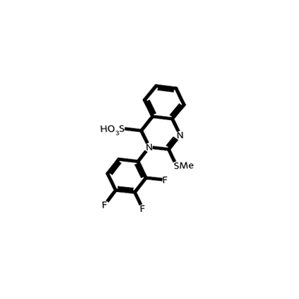 CSC1=Nc2ccccc2C(S(=O)(=O)O)N1c1ccc(F)c(F)c1F